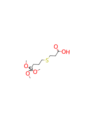 CO[Si](CCCSCCC(=O)O)(OC)OC